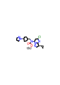 CC(C)(C)OC(=O)N(Cc1ccc(-n2cccn2)cc1)c1cc(Cl)nc2c(C3CC3)cnn12